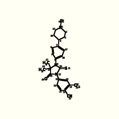 CCN1CCC(c2ccc(N3C(=S)N(c4ccc(C#N)c(C(F)(F)F)c4)C(=O)C3(C)C)cc2)CC1